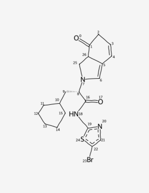 O=C1CC=CC2=CN([C@@H](CC3CCCCC3)C(=O)Nc3ncc(Br)s3)CC12